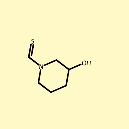 OC1CCCN([C]=S)C1